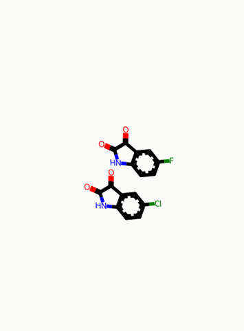 O=C1Nc2ccc(Cl)cc2C1=O.O=C1Nc2ccc(F)cc2C1=O